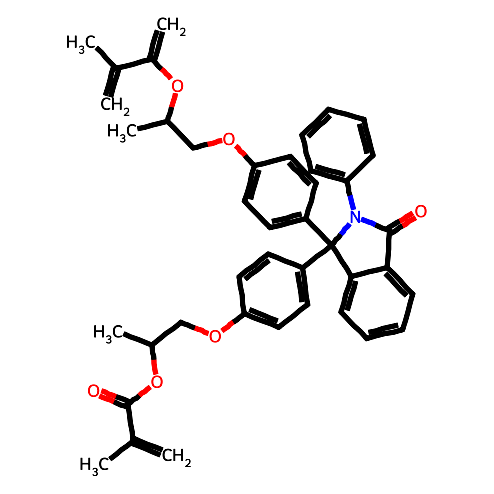 C=C(C)C(=C)OC(C)COc1ccc(C2(c3ccc(OCC(C)OC(=O)C(=C)C)cc3)c3ccccc3C(=O)N2c2ccccc2)cc1